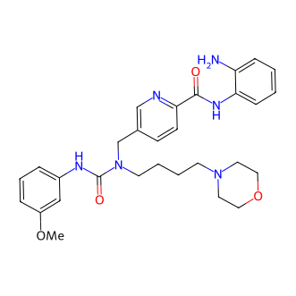 COc1cccc(NC(=O)N(CCCCN2CCOCC2)Cc2ccc(C(=O)Nc3ccccc3N)nc2)c1